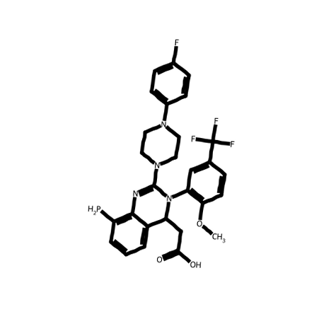 COc1ccc(C(F)(F)F)cc1N1C(N2CCN(c3ccc(F)cc3)CC2)=Nc2c(P)cccc2C1CC(=O)O